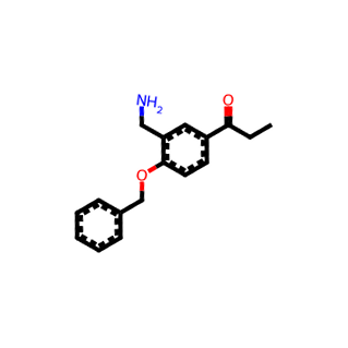 CCC(=O)c1ccc(OCc2ccccc2)c(CN)c1